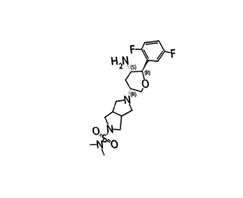 CN(C)S(=O)(=O)N1CC2CN([C@H]3CO[C@H](c4cc(F)ccc4F)[C@@H](N)C3)CC2C1